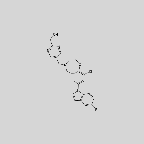 OCc1ncc(CN2CCOc3c(Cl)cc(-n4ccc5cc(F)ccc54)cc3C2)cn1